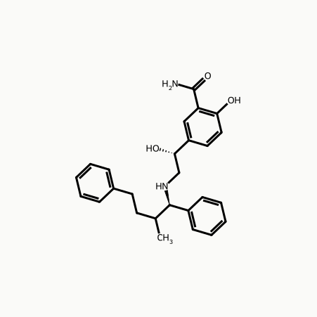 CC(CCc1ccccc1)[C@@H](NC[C@H](O)c1ccc(O)c(C(N)=O)c1)c1ccccc1